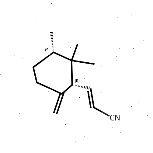 C=C1CC[C@H](C)C(C)(C)[C@@H]1C=CC#N